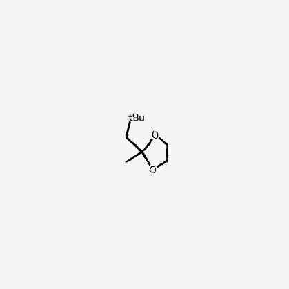 CC(C)(C)CC1(C)OCCO1